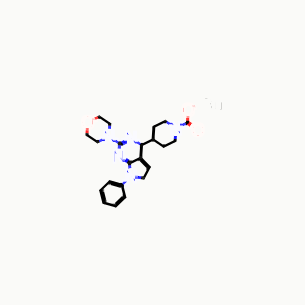 CC(C)(C)OC(=O)N1CCC(C2N=C(N3CCOCC3)N=C3C2=CCN3c2ccccc2)CC1